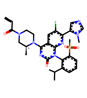 C=CC(=O)N1CCN(c2nc(=O)n(-c3c(C(C)C)cccc3S(C)(=O)=O)c3nc(-c4cncn4C)c(F)cc23)[C@@H](C)C1